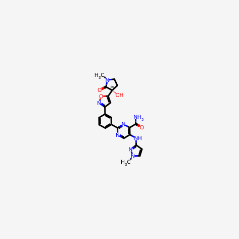 CN1CC[C@@](O)(c2cc(-c3cccc(-c4ncc(Nc5ccn(C)n5)c(C(N)=O)n4)c3)no2)C1=O